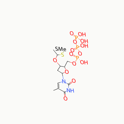 CSSC(C)OC1CC(n2cc(C)c(=O)[nH]c2=O)OC1COP(=O)(O)OP(=O)(O)OP(=O)(O)O